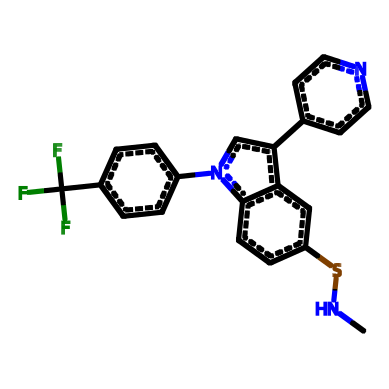 CNSc1ccc2c(c1)c(-c1ccncc1)cn2-c1ccc(C(F)(F)F)cc1